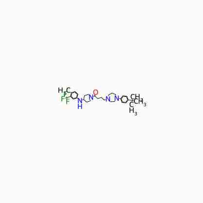 Cc1ccc(NC2CCN(C(=O)CCCN3CCCN(c4ccc(C(C)(C)C)cc4)CC3)CC2)cc1C(F)(F)F